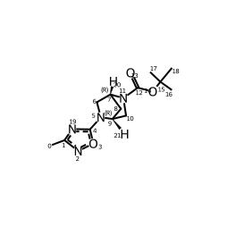 Cc1noc(N2C[C@H]3C[C@@H]2CN3C(=O)OC(C)(C)C)n1